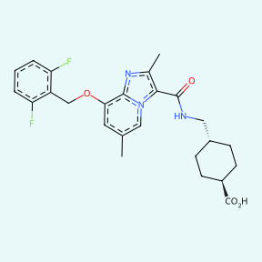 Cc1cc(OCc2c(F)cccc2F)c2nc(C)c(C(=O)NC[C@H]3CC[C@H](C(=O)O)CC3)n2c1